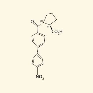 O=C(O)[C@@H]1CCC[C@H]1C(=O)c1ccc(-c2ccc([N+](=O)[O-])cc2)cc1